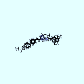 C\C=C/C(C=Cc1ccc(N2CCN(C)CC2)cc1)=C\C=N\CCCP(=O)(OCC)OCC